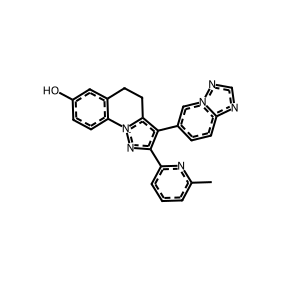 Cc1cccc(-c2nn3c(c2-c2ccc4ncnn4c2)CCc2cc(O)ccc2-3)n1